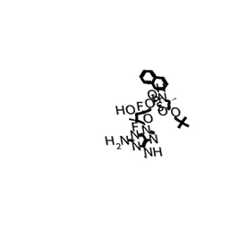 CNc1nc(N)nc2c1ncn2[C@@H]1O[C@](F)(CO[P@@](=S)(N[C@H](C)C(=O)OCC(C)(C)C)Oc2cccc3ccccc23)[C@@H](O)[C@@]1(C)F